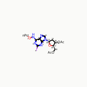 CCCONc1nc(I)nc2c1ncn2[C@H]1[CH][C@@H](OC(C)=O)[C@@H](COC(C)=O)O1